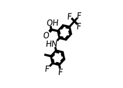 Cc1c(Nc2ccc(C(F)(F)F)cc2C(=O)O)ccc(F)c1F